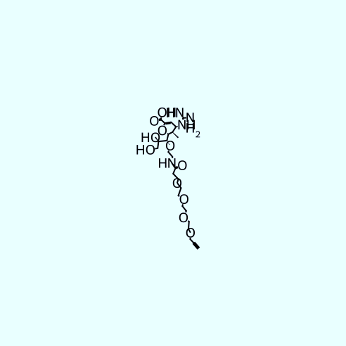 C#CCOCCOCCOCCOCCC(=O)NCCO[C@@H]([C@@H]1OC(C(=O)O)=C[C@H](NC(=N)N)[C@H]1C)[C@H](O)CO